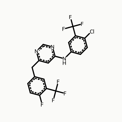 Fc1ccc(Cc2cc(Nc3ccc(Cl)c(C(F)(F)F)c3)ncn2)cc1C(F)(F)F